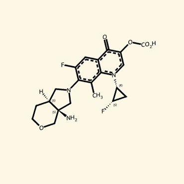 Cc1c(N2C[C@@H]3CCOC[C@@]3(N)C2)c(F)cc2c(=O)c(OC(=O)O)cn([C@@H]3C[C@@H]3F)c12